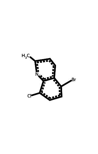 Cc1ccc2c(Br)ccc(Cl)c2n1